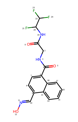 O=C(CNC(=O)c1ccc(C=NO)c2ccccc12)NC(F)C(F)F